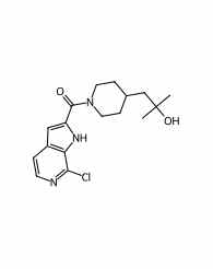 CC(C)(O)CC1CCN(C(=O)c2cc3ccnc(Cl)c3[nH]2)CC1